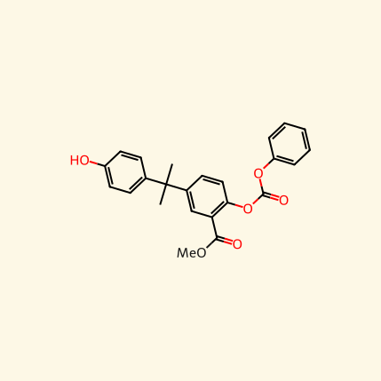 COC(=O)c1cc(C(C)(C)c2ccc(O)cc2)ccc1OC(=O)Oc1ccccc1